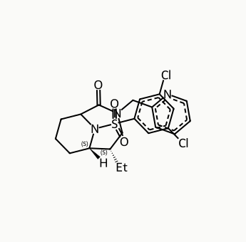 CC[C@H]1CN(Cc2ccccn2)C(=O)C2CCC[C@@H]1N2S(=O)(=O)c1cc(Cl)cc(Cl)c1